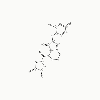 O=C([C@@H]1CCCc2nn(Cc3ccc(Br)cc3F)c(=O)n21)N1C[C@@H](F)[C@@H](F)C1